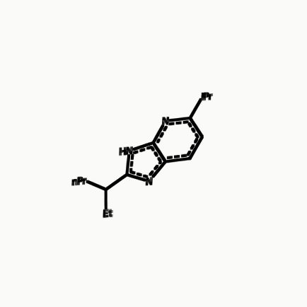 CCCC(CC)c1nc2ccc(C(C)C)nc2[nH]1